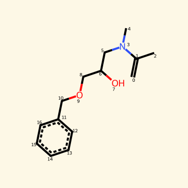 C=C(C)N(C)CC(O)COCc1ccccc1